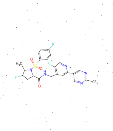 CC1C(F)CC(C(=O)NCc2cc(-c3cnc(C(F)(F)F)nc3)ncc2F)N1S(=O)(=O)c1ccc(F)cc1